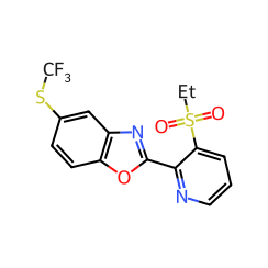 CCS(=O)(=O)c1cccnc1-c1nc2cc(SC(F)(F)F)ccc2o1